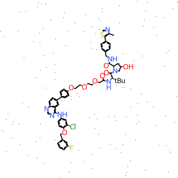 Cc1ncsc1-c1ccc(CNC(=O)C2CC(O)CN2C(=O)[C@H](NC(=O)COCCOCCOc2ccc(-c3ccc4ncnc(Nc5ccc(OCc6cccc(F)c6)c(Cl)c5)c4c3)cc2)C(C)(C)C)cc1